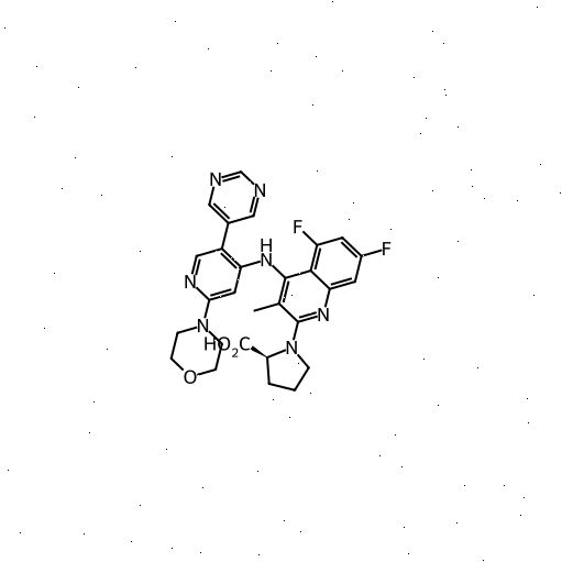 Cc1c(N2CCC[C@H]2C(=O)O)nc2cc(F)cc(F)c2c1Nc1cc(N2CCOCC2)ncc1-c1cncnc1